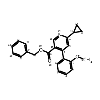 COc1ccccc1-c1cc(C2CC2)ncc1C(=O)OCc1ccccc1